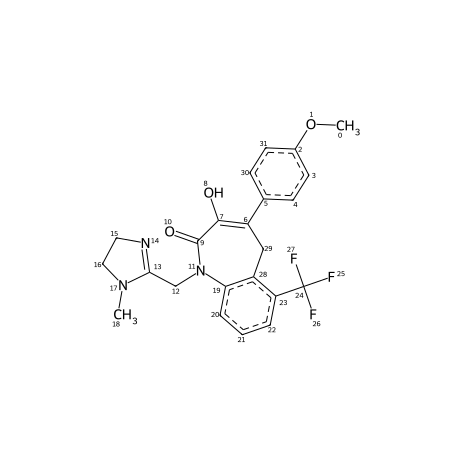 COc1ccc(C2=C(O)C(=O)N(CC3=NCCN3C)c3cccc(C(F)(F)F)c3C2)cc1